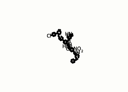 CC1(C)CCC(CN2CC=C(c3ccc(C(=O)NS(=O)(=O)c4ccc(NCC5CN(Cc6ccccc6)CCO5)c([N+](=O)[O-])c4)c(Oc4cnc5[nH]ccc5c4)c3)CC2)=C(c2ccc(Cl)cc2)C1